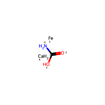 NC(=O)O.[CaH2].[Fe]